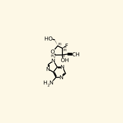 C#C[C@@]1(O)[C@H](F)[C@@H](CO)O[C@H]1n1cnc2c(N)ncnc21